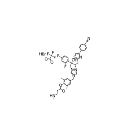 Br.CNCCC(=O)Oc1c(C)cc(C[n+]2cnn(CC(O)(c3ccc(F)cc3F)C(C)Cc3nc(-c4ccc(C#N)cc4)cs3)c2)cc1C.O=C([O-])C(F)(F)F